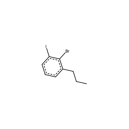 CCCc1cccc(I)c1Br